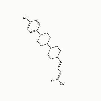 N#CC(F)=CC=CC1CCC(C2CCC(c3ccc(C#N)cc3)CC2)CC1